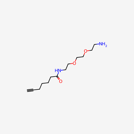 C#CCCCCC(=O)NCCOCCOCCN